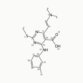 CSc1nc(C=CN(C)C)c(C(=O)O)c(Nc2cccc(C)c2)n1